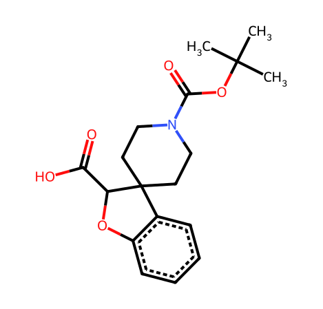 CC(C)(C)OC(=O)N1CCC2(CC1)c1ccccc1OC2C(=O)O